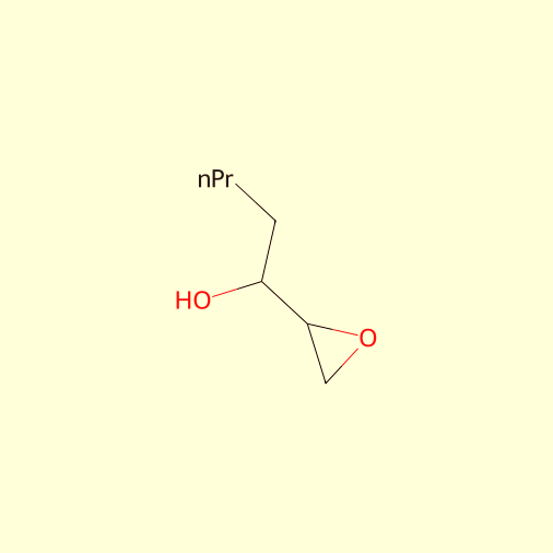 CCCCC(O)C1CO1